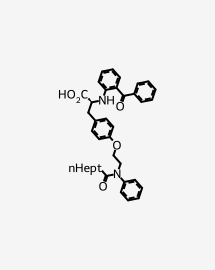 CCCCCCCC(=O)N(CCOc1ccc(C[C@H](Nc2ccccc2C(=O)c2ccccc2)C(=O)O)cc1)c1ccccc1